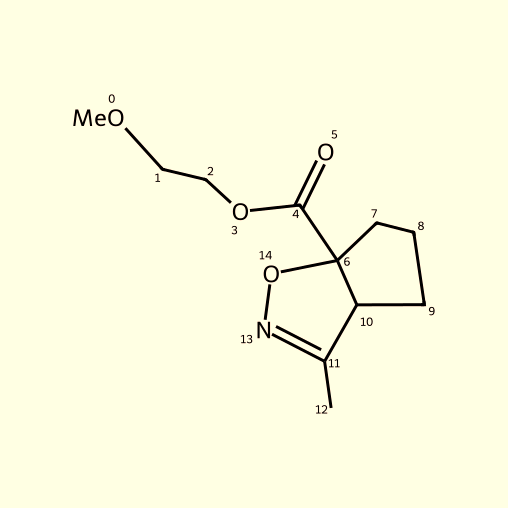 COCCOC(=O)C12CCCC1C(C)=NO2